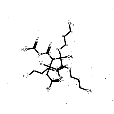 CCCCOC(OCCCC)C(C)(OCCCC)C(C(=O)OC(C)=O)C(O)(CC(=O)O)C(=O)O